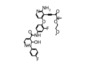 COCCON(C)C(=O)C#Cc1c(Oc2ccc(NC(=O)C3=CC=NN(c4ccc(F)cc4)C3O)cc2F)ccnc1N